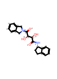 O=C(N[C@H]1CCc2ccccc21)[C@H](O)[C@@H](O)C(=O)N1Cc2ccccc2C1